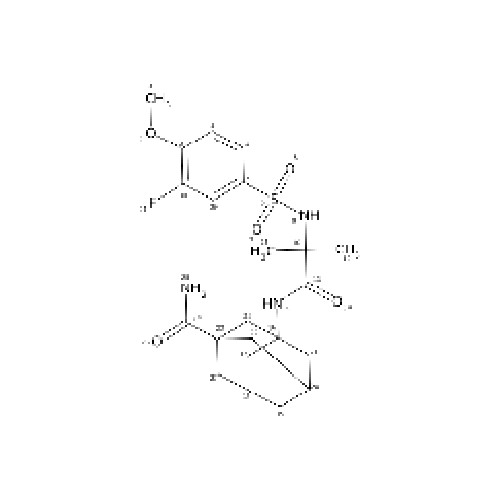 COc1ccc(S(=O)(=O)NC(C)(C)C(=O)NC23CC4CC(C2)CC(C(N)=O)(C4)C3)cc1F